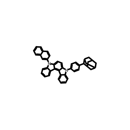 c1ccc2cc(-n3c4ccccc4c4c5c6ccccc6n(-c6ccc(C7C8CC9CC(C8)CC7C9)cc6)c5ccc43)ccc2c1